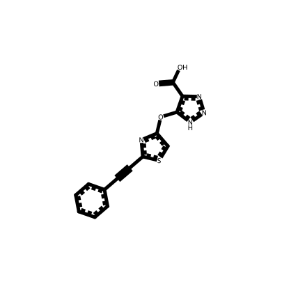 O=C(O)c1nn[nH]c1Oc1csc(C#Cc2ccccc2)n1